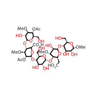 CO[C@H]1O[C@H](CO)[C@@H](O[C@@H]2O[C@@H](CC(=O)O)[C@@H](O[C@H]3O[C@H](CO)[C@@H](O[C@@H]4O[C@H](C(=O)O)[C@@H](O[C@H]5O[C@H](CO)[C@@H](OC(C)=O)[C@H](OC)[C@H]5O)[C@H](OC)[C@H]4OC(C)=O)[C@H](O)[C@H]3O)[C@H](OC)[C@H]2O)[C@H](O)[C@H]1O